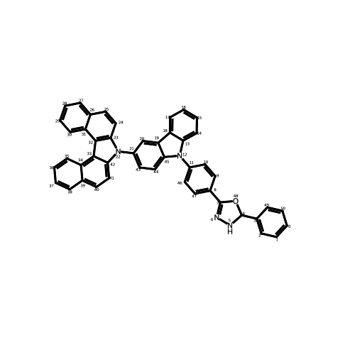 c1ccc(C2NN=C(c3ccc(-n4c5ccccc5c5cc(-n6c7ccc8ccccc8c7c7c8ccccc8ccc76)ccc54)cc3)O2)cc1